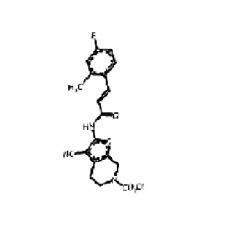 CCOC(=O)N1CCc2c(sc(NC(=O)C=Cc3ccc(F)cc3C)c2C#N)C1